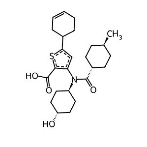 C[C@H]1CC[C@H](C(=O)N(c2cc(C3CC=CCC3)sc2C(=O)O)[C@H]2CC[C@H](O)CC2)CC1